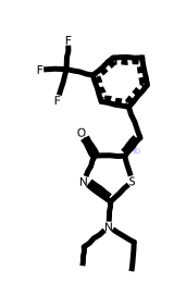 CCN(CC)C1=NC(=O)/C(=C\c2cccc(C(F)(F)F)c2)S1